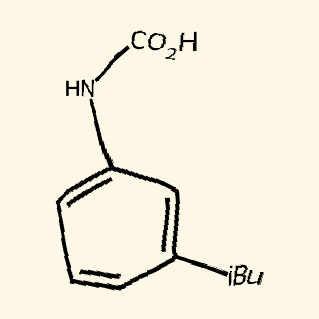 CCC(C)c1cccc(NC(=O)O)c1